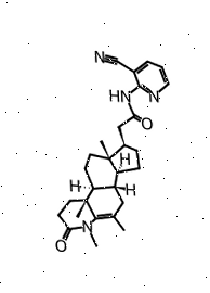 CC1=C2N(C)C(=O)CC[C@]2(C)[C@H]2CC[C@]3(C)[C@@H](CC(=O)Nc4ncccc4C#N)CC[C@H]3[C@@H]2C1